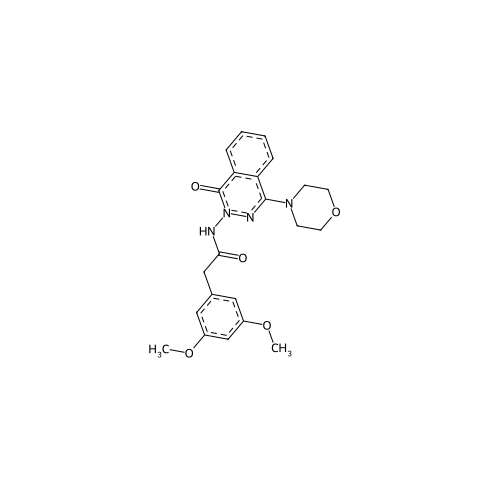 COc1cc(CC(=O)Nn2nc(N3CCOCC3)c3ccccc3c2=O)cc(OC)c1